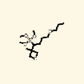 CCCOCCCC(C1(C)COC1)[Si](OC)(OC)OC